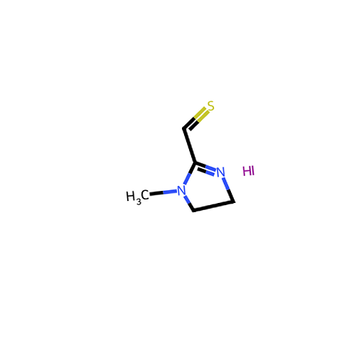 CN1CCN=C1C=S.I